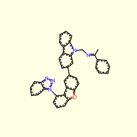 C/C(=N\Cn1c2ccccc2c2ccc(-c3ccc4oc5cccc(-n6nnc7ccccc76)c5c4c3)cc21)c1ccccc1